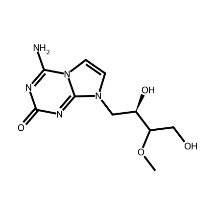 COC(CO)[C@H](O)Cn1ccn2c(N)nc(=O)nc12